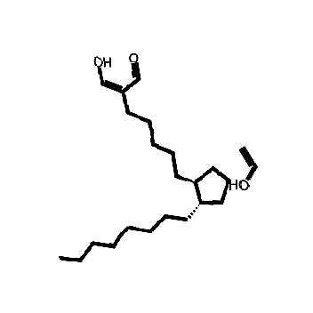 C=CO.CCCCCCCC[C@H]1CCC[C@@H]1CCCCCC(C=O)=CO